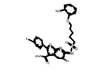 CCc1cc2c(C(=O)NC)c(-c3ccc(F)cc3)oc2nc1NS(=O)(=O)CCCCCOc1ccccc1C#N